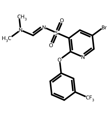 CN(C)C=NS(=O)(=O)c1cc(Br)cnc1Oc1cccc(C(F)(F)F)c1